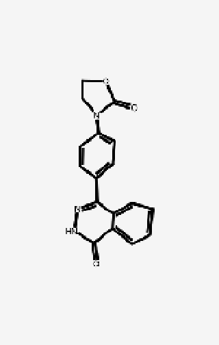 O=C1OCCN1c1ccc(-c2n[nH]c(=O)c3ccccc23)cc1